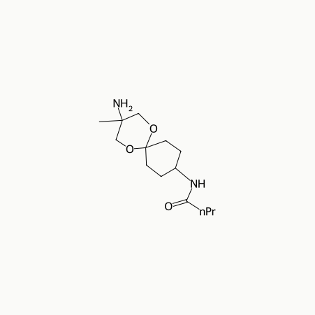 CCCC(=O)NC1CCC2(CC1)OCC(C)(N)CO2